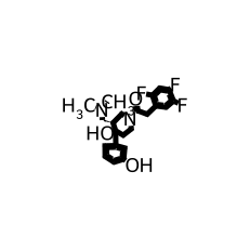 CN(C)C[C@@H]1CN(C(=O)Cc2cc(F)c(F)cc2F)CC[C@@]1(O)c1cccc(O)c1